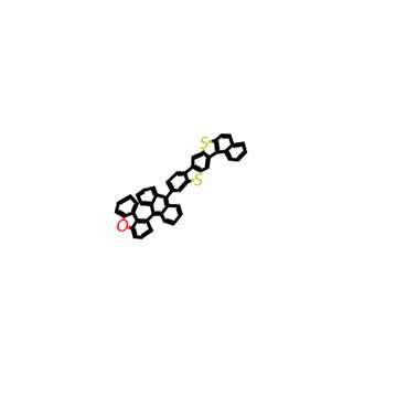 c1ccc2c(c1)ccc1sc3cc4c(cc3c12)sc1cc(-c2c3ccccc3c(-c3cccc5oc6ccccc6c35)c3ccccc23)ccc14